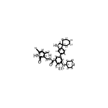 CCN(c1cc(-c2ccc3c(c2)NCC32CCCCC2)cc(C(=O)NCc2c(C)cc(C)[nH]c2=O)c1C)C1CCOCC1